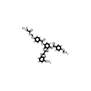 C=CC(=O)OCOc1ccc(C(=O)Oc2ccc(OC(=O)c3ccc(OC)cc3)c3nc(-c4nc5cccc(C)c5s4)sc23)cc1